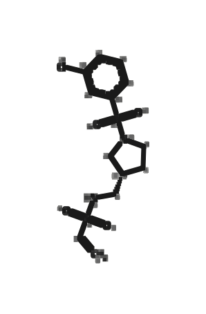 C=CS(=O)(=O)NC[C@H]1CCN(S(=O)(=O)c2cccc(Cl)c2)C1